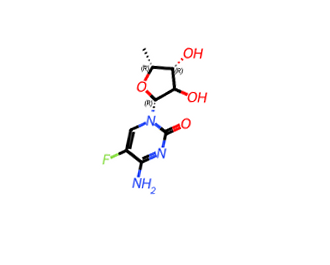 C[C@H]1O[C@@H](n2cc(F)c(N)nc2=O)C(O)[C@H]1O